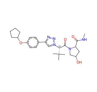 CNC(=O)C1CC(O)CN1C(=O)[C@@H](n1cc(-c2ccc(OC3CCCC3)cc2)nn1)C(C)(C)C